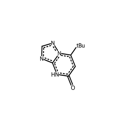 CC(C)(C)c1cc(=O)[nH]c2ncnn12